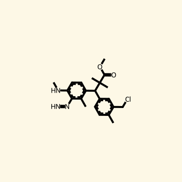 CNc1ccc(C(c2ccc(C)c(CCl)c2)C(C)(C)C(=O)OC)c(C)c1N=N